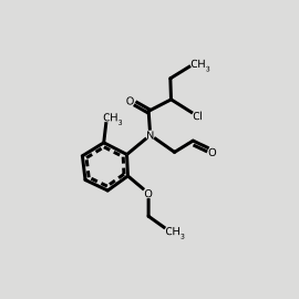 CCOc1cccc(C)c1N(CC=O)C(=O)C(Cl)CC